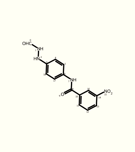 O=CNNc1ccc(NC(=O)c2cccc([N+](=O)[O-])c2)cc1